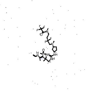 C=CN/C(C)=C(/C(C)(C)[C@@H](C)NC(=N)N[C@H]1CCC(N(C)CC(F)(F)CCN(C)C(=O)C(F)(F)F)C1)P(C)(C)=O